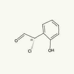 O=C[C@@H](Cl)c1ccccc1O